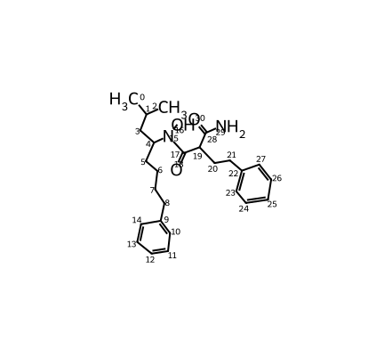 CC(C)CC(CCCCc1ccccc1)N(O)C(=O)C(CCc1ccccc1)C(N)=O